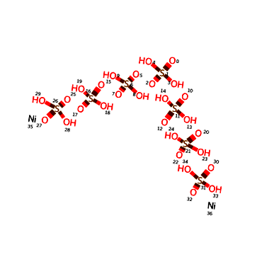 O=S(=O)(O)O.O=S(=O)(O)O.O=S(=O)(O)O.O=S(=O)(O)O.O=S(=O)(O)O.O=S(=O)(O)O.O=S(=O)(O)O.[Ni].[Ni]